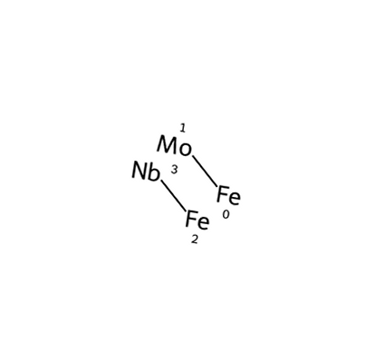 [Fe][Mo].[Fe][Nb]